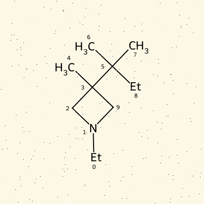 CCN1CC(C)(C(C)(C)CC)C1